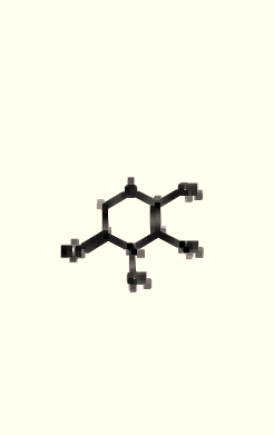 C=C1COC(C)=C(N)N1C